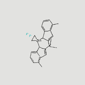 CCC1=Cc2c(C)cccc2[CH]1[Zr+2]1([CH]2C(CC)=Cc3c(C)cccc32)[CH2][CH2]1.[F-].[F-]